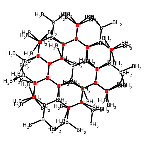 BBB(B)B(B(B)B)B(B(B(B)B)B(B)B)B(B(B(B(B(B)B)B(B)B)B(B(B)B)B(B)B)B(B(B(B)B)B(B)B)B(B(B)B)B(B)B)B(B(B(B(B(B)B)B(B)B)B(B(B)B)B(B)B)B(B(B(B)B)B(B)B)B(B(B)B)B(B)B)B(B(B(B(B)B)B(B)B)B(B(B)B)B(B)B)B(B(B(B)B)B(B)B)B(B(B)B)B(B)B